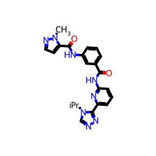 CC(C)n1cnnc1-c1cccc(NC(=O)c2cccc(NC(=O)c3ccnn3C)c2)n1